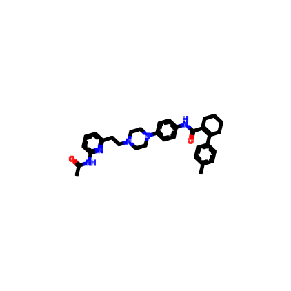 CC(=O)Nc1cccc(CCN2CCN(c3ccc(NC(=O)C4=C(c5ccc(C)cc5)CCCC4)cc3)CC2)n1